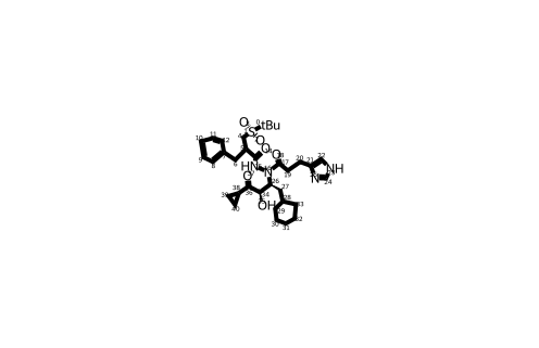 CC(C)(C)S(=O)(=O)CC(Cc1ccccc1)C(=O)NN(C(=O)CCc1c[nH]cn1)[C@@H](CC1CCCCC1)[C@@H](O)C(=O)C1CC1